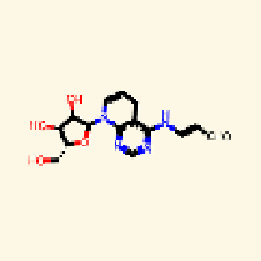 O=C/C=C/Nc1ncnc2c1CC=CN2C1O[C@H](CO)[C@@H](O)[C@H]1O